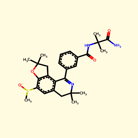 C[S+]([O-])c1cc2c(c3c1OC(C)(C)C3)C(c1cccc(C(=O)NC(C)(C)C(N)=O)c1)=NC(C)(C)C2